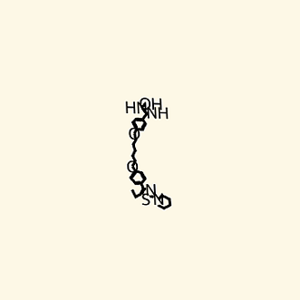 CCc1sc(N2CCCCC2)nc1-c1ccc(OCCCCCOc2ccc(C(=N)NO)cc2)cc1